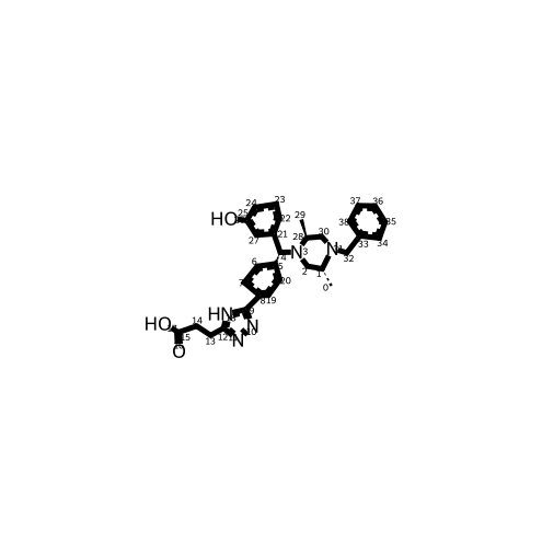 C[C@@H]1CN([C@H](c2ccc(-c3nnc(CCC(=O)O)[nH]3)cc2)c2cccc(O)c2)[C@@H](C)CN1Cc1ccccc1